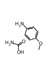 COc1ccc(N)cc1.NC(=O)O